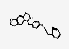 c1ccc(COc2ccc(CC3NCCc4cc5c(cc43)OCO5)cc2)cc1